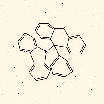 c1ccc(C2(n3c4ccccc4c4ccccc43)c3ccccc3Sc3ccccc32)cc1